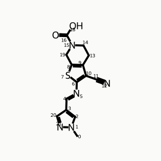 Cn1cc(/C=N/c2sc3c(c2C#N)CCN(C(=O)O)C3)cn1